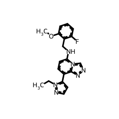 CCn1nccc1-c1ccc(NCc2c(F)cccc2OC)n2cnnc12